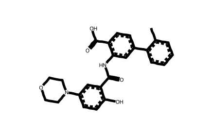 Cc1ccccc1-c1ccc(C(=O)O)c(NC(=O)c2cc(N3CCOCC3)ccc2O)c1